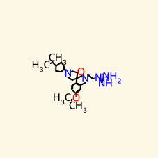 CC(C)Oc1ccc2c(c1)CN(CCNC(=N)N)C(=O)C21CCN(C2CCC(C(C)C)CC2)CC1